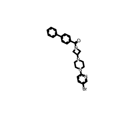 O=C(c1ccc(-c2ccccc2)cc1)N1CC(N2CCN(c3ccc(Br)cn3)CC2)C1